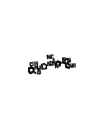 Cc1cccc(Cl)c1NC(=O)N1CCC(N2CC(CC#N)(n3cc(-c4ncnc5[nH]ccc45)cn3)C2)CC1